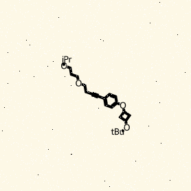 CC(C)OCCCOCCC#Cc1ccc(OC2CC(OC(C)(C)C)C2)cc1